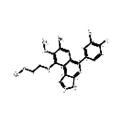 COCCOc1c(OC)c(C)cc2c(-c3ccc(O)c(Cl)c3)nc3[nH]ncc3c12